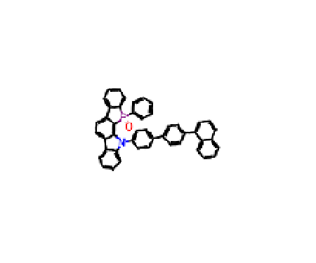 O=P1(c2ccccc2)c2ccccc2-c2ccc3c4ccccc4n(-c4ccc(-c5ccc(-c6cccc7ccccc67)cc5)cc4)c3c21